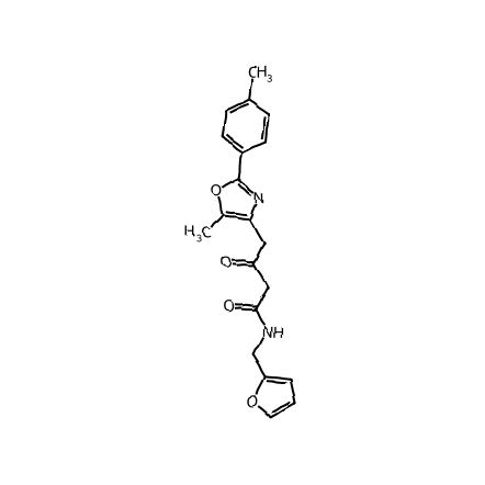 Cc1ccc(-c2nc(CC(=O)CC(=O)NCc3ccco3)c(C)o2)cc1